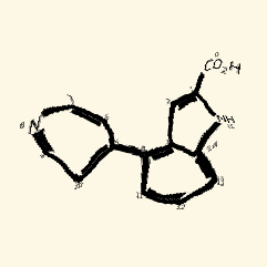 O=C(O)c1cc2c(-c3ccncc3)cccc2[nH]1